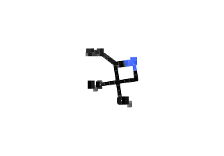 CNC1=NCC1(C)C